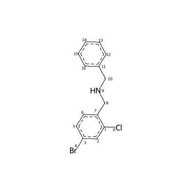 Clc1cc(Br)ccc1CNCc1ccccc1